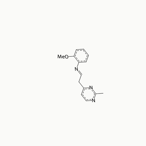 COc1ccccc1N=CCc1ccnc(C)n1